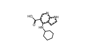 O=C(O)c1cnc2[nH]ccc2c1NC1CCCCC1